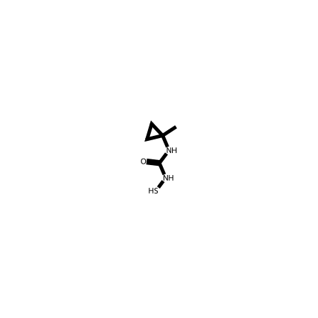 CC1(NC(=O)NS)CC1